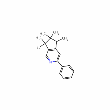 CCC1(C)c2cnc(-c3ccccc3)cc2C(C)C1(C)C